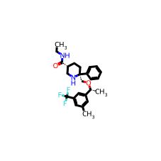 CCNC(=O)[C@@H]1CC[C@@](CO[C@H](C)c2cc(C)cc(C(F)(F)F)c2)(c2ccccc2)NC1